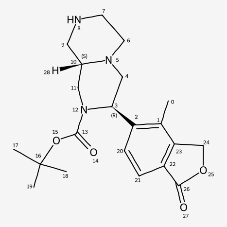 Cc1c([C@@H]2CN3CCNC[C@H]3CN2C(=O)OC(C)(C)C)ccc2c1COC2=O